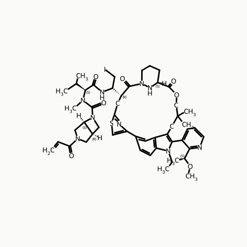 C=CC(=O)N1C[C@@H]2CN(C(=O)N(C)[C@H](C(=O)NC(CI)[C@H]3Cc4nc(cs4)-c4ccc5c(c4)c(c(-c4cccnc4[C@H](C)OC)n5CC)CC(C)(C)COC(=O)[C@@H]4CCCN(N4)C3=O)C(C)C)[C@@H]2C1